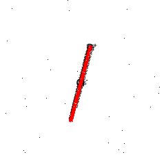 CCCCCCCCCCCCCCCCCCCCCCCCCCCCCCCCCCCCCCCCCCCCCCCCCCCC[P+](C)(C)C.[Cl-]